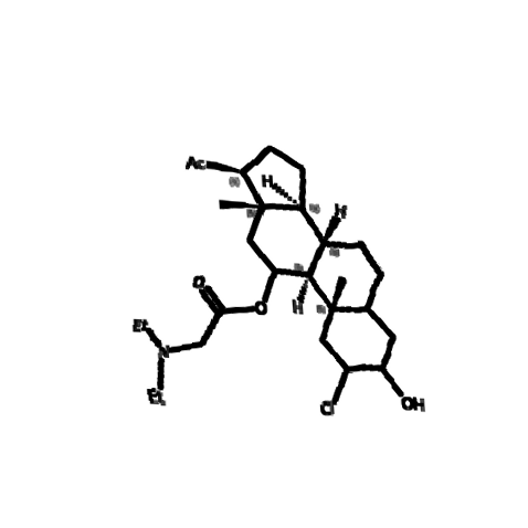 CCN(CC)CC(=O)OC1C[C@]2(C)[C@@H](C(C)=O)CC[C@H]2[C@@H]2CCC3CC(O)C(Cl)C[C@]3(C)[C@@H]12